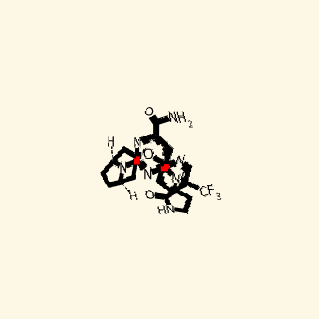 NC(=O)c1cc(N[C@H]2CCNC2=O)nc(N2[C@@H]3CC[C@H]2C[C@H](Oc2ccc(C(F)(F)F)cn2)C3)n1